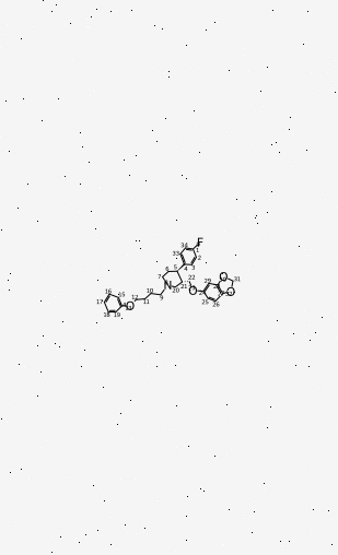 Fc1ccc([C@@H]2CCN(CCCCOc3ccccc3)C[C@H]2COc2ccc3c(c2)OCO3)cc1